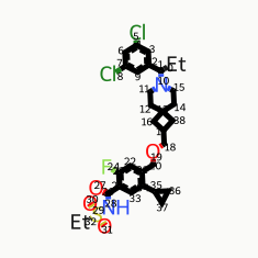 CCC(c1cc(Cl)cc(Cl)c1)N1CCC2(CC1)CC(COCc1cc(F)c(C(=O)NS(=O)(=O)CC)cc1C1CC1)C2